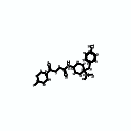 CC1CCN(C(=O)CCC(=O)NC2CCC(Cc3ccc(Cl)cc3)(N(C)C)CC2)CC1